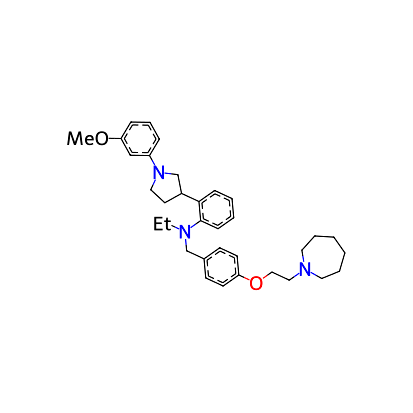 CCN(Cc1ccc(OCCN2CCCCCC2)cc1)c1ccccc1C1CCN(c2cccc(OC)c2)C1